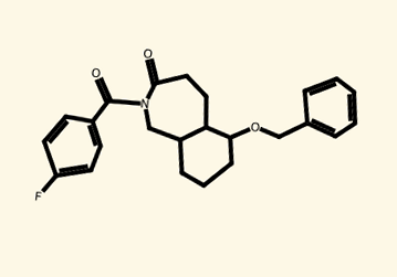 O=C1CCC2C(CCCC2OCc2ccccc2)CN1C(=O)c1ccc(F)cc1